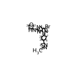 Cc1nnc(-c2ccc(-n3nc(Br)c4cnc(NC5CCOC5)nc43)cc2)s1